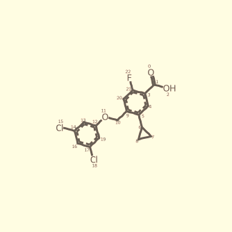 O=C(O)c1cc(C2CC2)c(COc2cc(Cl)cc(Cl)c2)cc1F